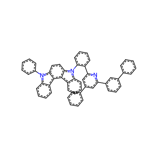 c1ccc(-c2cccc(-c3cc(-c4ccccc4)cc(-c4ccccc4-n4c5ccccc5c5c6c7ccccc7n(-c7ccccc7)c6ccc54)n3)c2)cc1